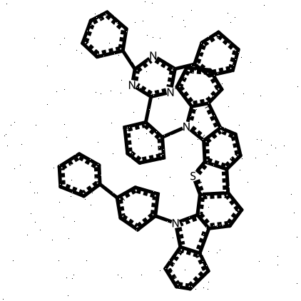 c1ccc(-c2ccc(-n3c4ccccc4c4ccc5c6ccc7c8ccccc8n(-c8ccccc8-c8nc(-c9ccccc9)nc(-c9ccccc9)n8)c7c6sc5c43)cc2)cc1